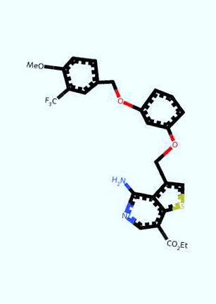 CCOC(=O)c1cnc(N)c2c(COc3cccc(OCc4ccc(OC)c(C(F)(F)F)c4)c3)csc12